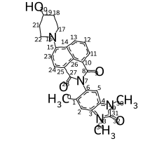 Cc1cc2c(cc1N1C(=O)c3cccc4c(N5CCC(O)CC5)ccc(c34)C1=O)n(C)c(=O)n2C